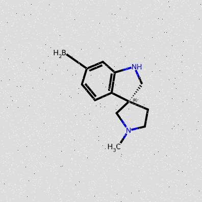 Bc1ccc2c(c1)NC[C@@]21CCN(C)C1